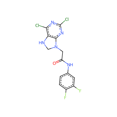 O=C(CN1CNc2c(Cl)nc(Cl)nc21)Nc1ccc(F)c(F)c1